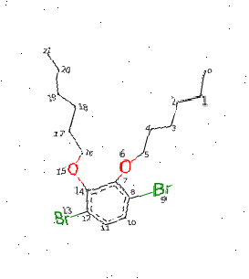 CCCCCCOc1c(Br)ccc(Br)c1OCCCCCC